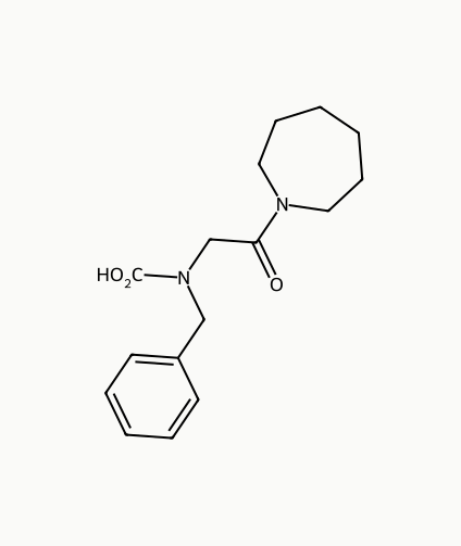 O=C(O)N(CC(=O)N1CCCCCC1)Cc1ccccc1